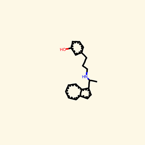 CC(NCCCc1cccc(O)c1)c1ccc2cccccc1-2